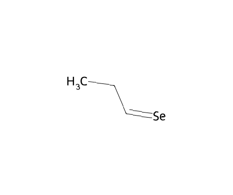 CCC=[Se]